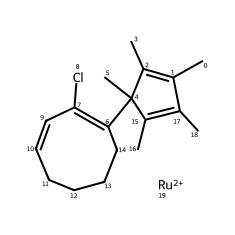 CC1=C(C)C(C)(C2=C(Cl)C=CCCCC2)C(C)=C1C.[Ru+2]